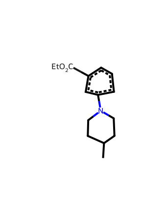 CCOC(=O)c1cccc(N2CCC(C)CC2)c1